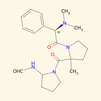 CN(C)[C@@H](C(=O)N1CCCC1(C)C(=O)N1CCCC1NC=O)c1ccccc1